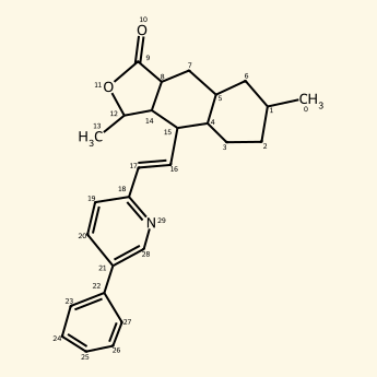 CC1CCC2C(C1)CC1C(=O)OC(C)C1C2C=Cc1ccc(-c2ccccc2)cn1